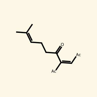 CC(=O)C=C(C(C)=O)C(=O)CCC=C(C)C